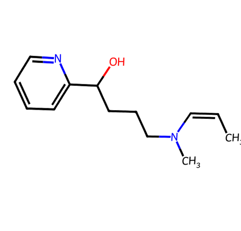 C/C=C\N(C)CCCC(O)c1ccccn1